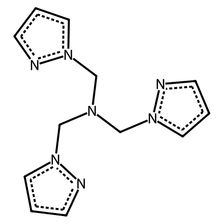 c1cnn(CN(Cn2cccn2)Cn2cccn2)c1